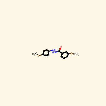 CSc1ccc(NNC(=O)c2cccc(SC)c2)cc1